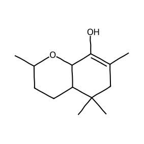 CC1=C(O)C2OC(C)CCC2C(C)(C)C1